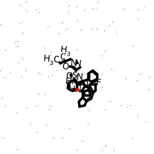 CC[C@]1(C)Cn2ncc(S(=O)(=NC(c3ccccc3)(c3ccccc3)c3ccccc3)NC(=O)Nc3c4c(cc5c3C[C@@H](F)C5)CCC4)c2O1